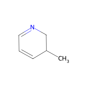 CC1C=CC=NC1